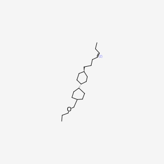 CC/C=C\CCC[C@H]1CC[C@H](C2CCC(COCCC)CC2)CC1